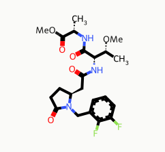 COC(=O)[C@H](C)NC(=O)[C@@H](NC(=O)C[C@@H]1CCC(=O)N1Cc1cccc(F)c1F)[C@@H](C)OC